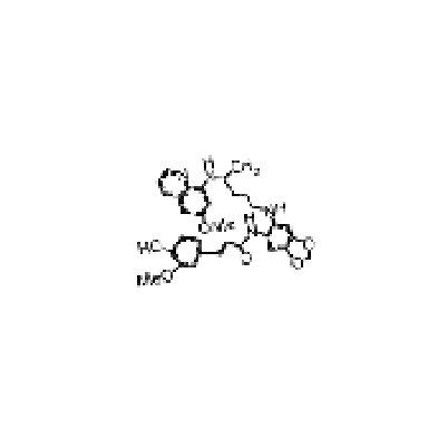 COc1cc(NC(C)CCCNc2cc3c(cc2NC(=O)/C=C/c2ccc(O)c(OC)c2)OCO3)c2ncccc2c1